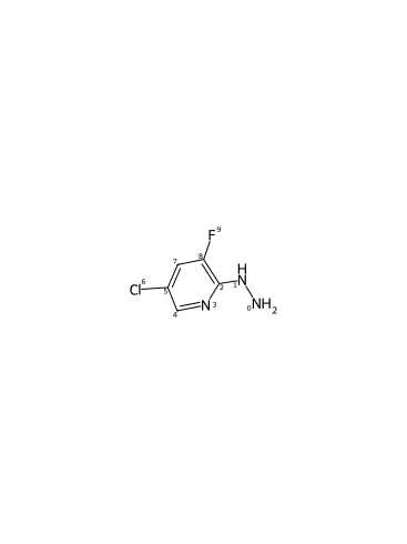 NNc1ncc(Cl)cc1F